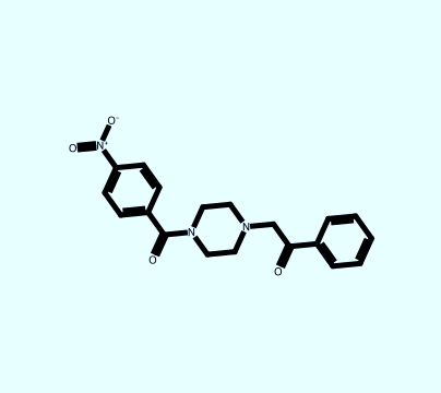 O=C(CN1CCN(C(=O)c2ccc([N+](=O)[O-])cc2)CC1)c1ccccc1